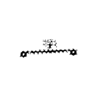 C[SiH](C)C(C)(C)COC(CCCCCCCCOCc1ccccc1)CCCCCCCCOCc1ccccc1